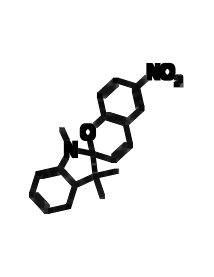 CN1C2=CC=CCC2C(C)(C)C12C=Cc1cc([N+](=O)[O-])ccc1O2